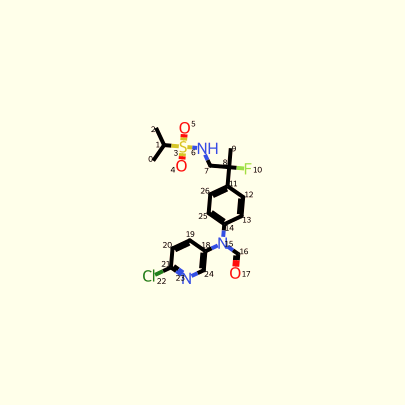 CC(C)S(=O)(=O)NCC(C)(F)c1ccc(N(C=O)c2ccc(Cl)nc2)cc1